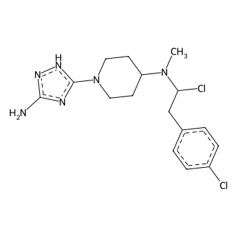 CN(C(Cl)Cc1ccc(Cl)cc1)C1CCN(c2nc(N)n[nH]2)CC1